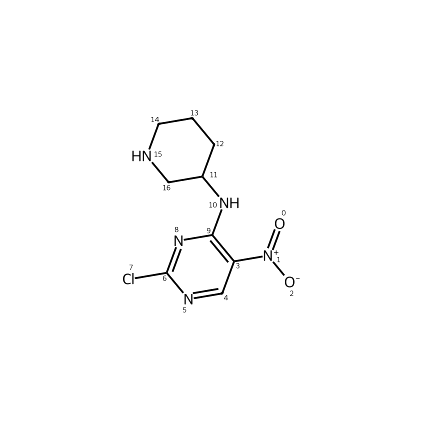 O=[N+]([O-])c1cnc(Cl)nc1NC1CCCNC1